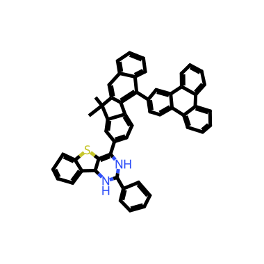 CC1(C)c2cc(C3=C4Sc5ccccc5C4NC(c4ccccc4)N3)ccc2-c2c1cc1ccccc1c2-c1ccc2c3ccccc3c3ccccc3c2c1